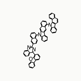 c1cc(-n2c3ccccc3c3cc4c(-n5c6ccccc6c6ccc7ccccc7c65)cccc4cc32)c2ccc(-c3nc(-c4cccc5c4oc4ccccc45)c4ccccc4n3)cc2c1